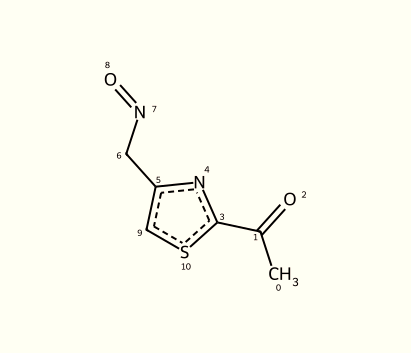 CC(=O)c1nc(CN=O)cs1